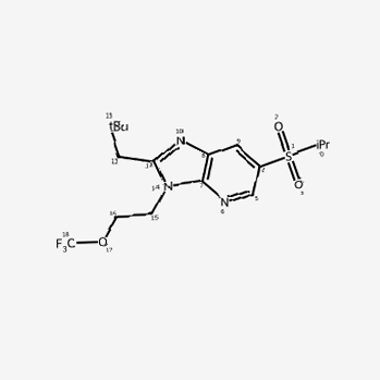 CC(C)S(=O)(=O)c1cnc2c(c1)nc(CC(C)(C)C)n2CCOC(F)(F)F